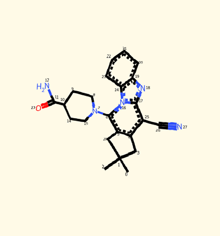 CC1(C)Cc2c(c(N3CCC(C(N)=O)CC3)n3c(nc4ccccc43)c2C#N)C1